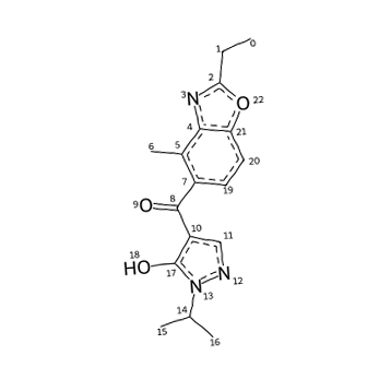 CCc1nc2c(C)c(C(=O)c3cnn(C(C)C)c3O)ccc2o1